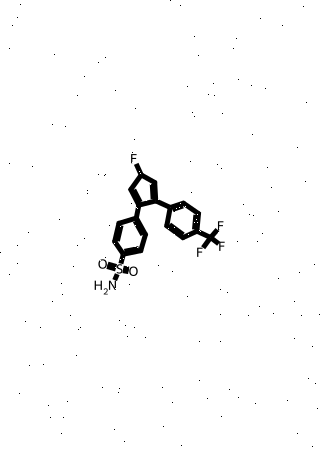 NS(=O)(=O)c1ccc(C2=CC(F)C=C2c2ccc(C(F)(F)F)cc2)cc1